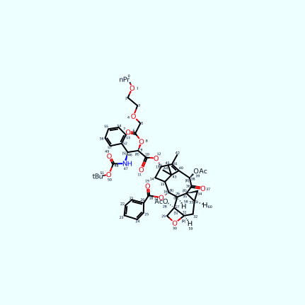 CCCOCCOCC(=O)O[C@@H](C(=O)O[C@H]1CC2[C@@H](OC(=O)c3ccccc3)[C@@H]3[C@]4(OC(C)=O)CO[C@@H]4C[C@@H]4C[C@@]43C(=O)[C@H](OC(C)=O)C(=C1C)C2(C)C)[C@@H](NC(=O)OC(C)(C)C)c1ccccc1